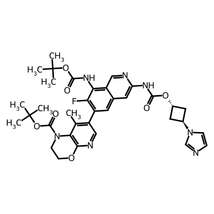 Cc1c(-c2cc3cc(NC(=O)O[C@H]4C[C@H](n5ccnc5)C4)ncc3c(NC(=O)OC(C)(C)C)c2F)cnc2c1N(C(=O)OC(C)(C)C)CCO2